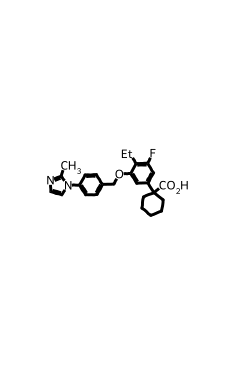 CCc1c(F)cc(C2(C(=O)O)CCCCC2)cc1OCc1ccc(-n2ccnc2C)cc1